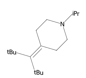 CC(C)N1CCC(=C(C(C)(C)C)C(C)(C)C)CC1